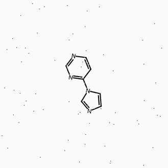 c1cc(-n2ccnc2)ncn1